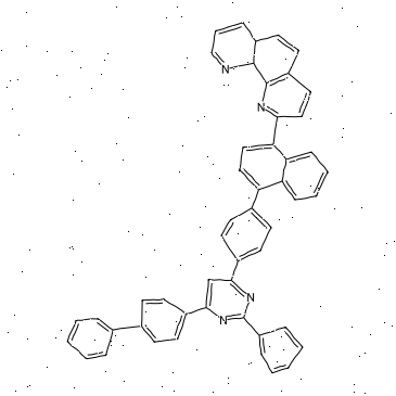 C1=CC2C=Cc3ccc(-c4ccc(-c5ccc(-c6cc(-c7ccc(-c8ccccc8)cc7)nc(-c7ccccc7)n6)cc5)c5ccccc45)nc3C2N=C1